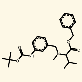 CC(C)C(C(=O)OCc1ccccc1)N(C)Cc1cccc(NC(=O)OC(C)(C)C)c1